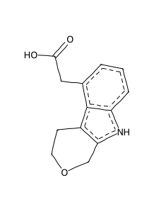 O=C(O)Cc1cccc2[nH]c3c(c12)CCOC3